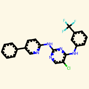 FC(F)(F)c1cccc(Nc2nc(Nc3ccc(-c4ccccc4)cn3)ncc2Cl)c1